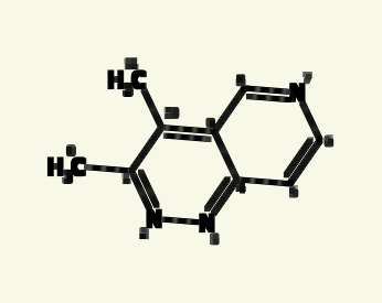 Cc1nnc2ccncc2c1C